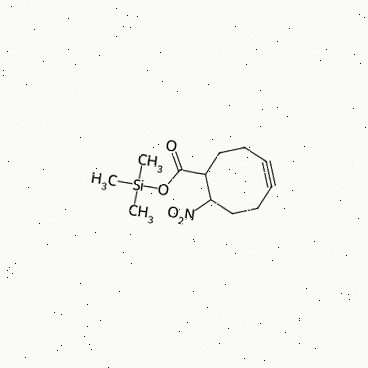 C[Si](C)(C)OC(=O)C1CCC#CCCC1[N+](=O)[O-]